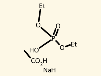 CC(=O)O.CCOP(=O)(O)OCC.[NaH]